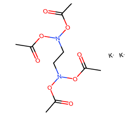 CC(=O)ON(CCN(OC(C)=O)OC(C)=O)OC(C)=O.[K].[K]